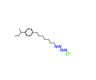 CCC(C)c1ccc(CCCCCCC/N=N/N=N/Cl)cc1